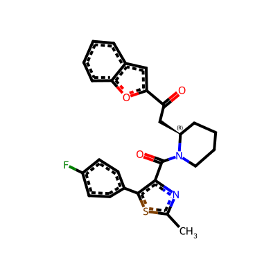 Cc1nc(C(=O)N2CCCC[C@@H]2CC(=O)c2cc3ccccc3o2)c(-c2ccc(F)cc2)s1